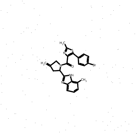 C=C1CC(c2nc3cccc(C)c3[nH]2)N(C(=O)c2nc(C)sc2-c2ccc(Br)cc2)C1